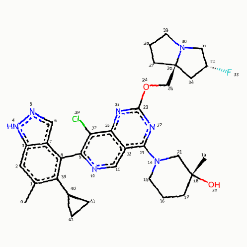 Cc1cc2[nH]ncc2c(-c2ncc3c(N4CCC[C@@](C)(O)C4)nc(OC[C@@]45CCCN4C[C@H](F)C5)nc3c2Cl)c1C1CC1